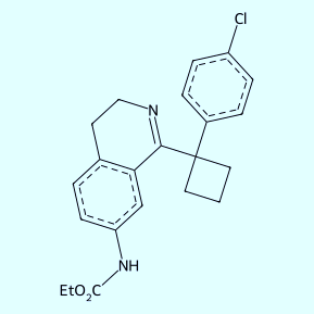 CCOC(=O)Nc1ccc2c(c1)C(C1(c3ccc(Cl)cc3)CCC1)=NCC2